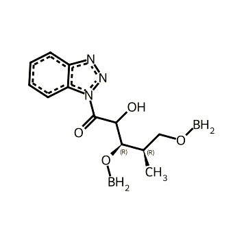 BOC[C@@H](C)[C@@H](OB)C(O)C(=O)n1nnc2ccccc21